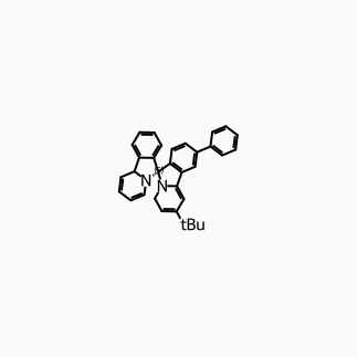 CC(C)(C)C1=CCN2C(=C1)c1cc(-c3ccccc3)ccc1[C@]21c2ccccc2C2C=CC=CN21